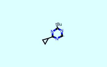 CC(C)(C)c1n[c]nc(C2CC2)n1